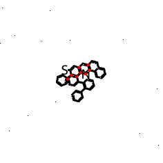 c1ccc(-c2ccccc2-c2c(-c3ccccc3)cccc2N(c2ccc3sc4ccccc4c3c2)c2cccc3ccccc23)cc1